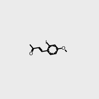 COc1ccc(C=CC(C)=O)c(I)c1